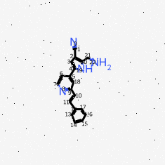 N#Cc1cc(-c2ccnc(C=Cc3ccccc3)c2)[nH]c1CN